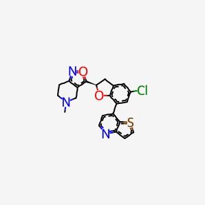 CN1CCc2noc([C@H]3Cc4cc(Cl)cc(-c5ccnc6ccsc56)c4O3)c2C1